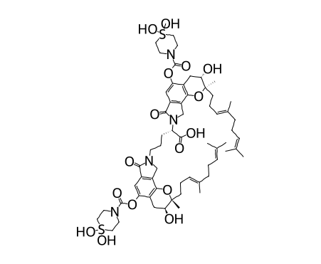 CC(C)=CCC/C(C)=C/CC[C@@]1(C)Oc2c(c(OC(=O)N3CCS(O)(O)CC3)cc3c2CN(CCC[C@@H](C(=O)O)N2Cc4c(cc(OC(=O)N5CCS(O)(O)CC5)c5c4O[C@](C)(CC/C=C(\C)CCC=C(C)C)[C@@H](O)C5)C2=O)C3=O)C[C@@H]1O